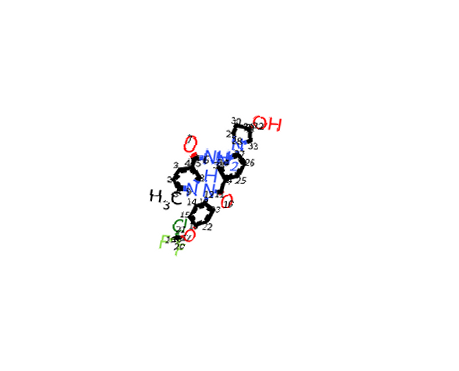 Cc1ccc(C(N)=O)cn1.O=C(Nc1ccc(OC(F)(F)Cl)cc1)c1ccc(N2CC[C@@H](O)C2)nc1